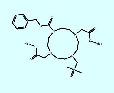 CC(C)(C)OC(=O)CN1CCN(CP(C)(C)=O)CCN(CC(=O)OC(C)(C)C)CCN(C(=O)OCc2ccccc2)CC1